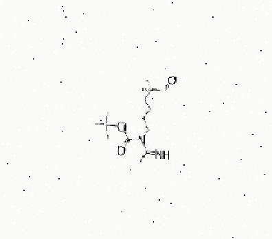 CC(=N)N(CCCC[C@H](C)C=O)C(=O)OC(C)(C)C